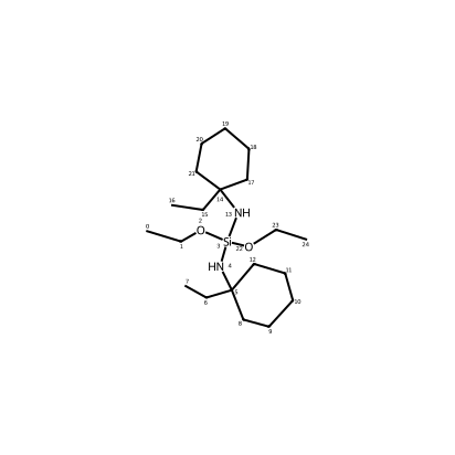 CCO[Si](NC1(CC)CCCCC1)(NC1(CC)CCCCC1)OCC